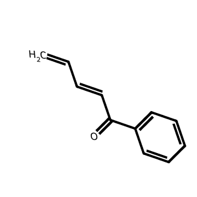 C=C/C=C/C(=O)c1ccccc1